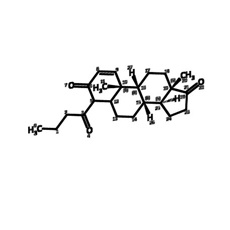 CCCC(=O)C1C(=O)C=C[C@@]2(C)C1CC[C@@H]1[C@H]2CC[C@]2(C)C(=O)CC[C@@H]12